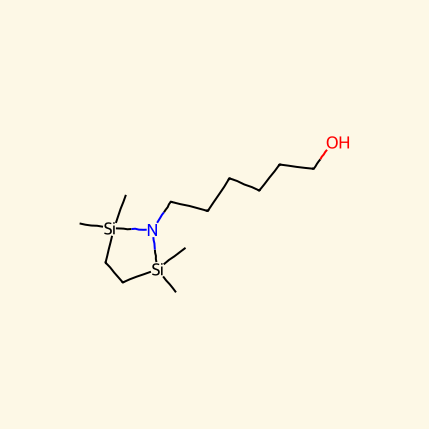 C[Si]1(C)CC[Si](C)(C)N1CCCCCCO